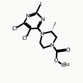 C[C@@H]1CN(C(=O)OC(C)(C)C)CCN1c1nc(I)nc(Cl)c1Cl